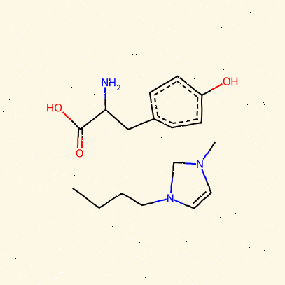 CCCCN1C=CN(C)C1.NC(Cc1ccc(O)cc1)C(=O)O